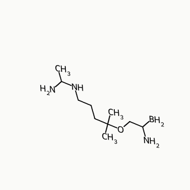 BC(N)COC(C)(C)CCCNC(C)N